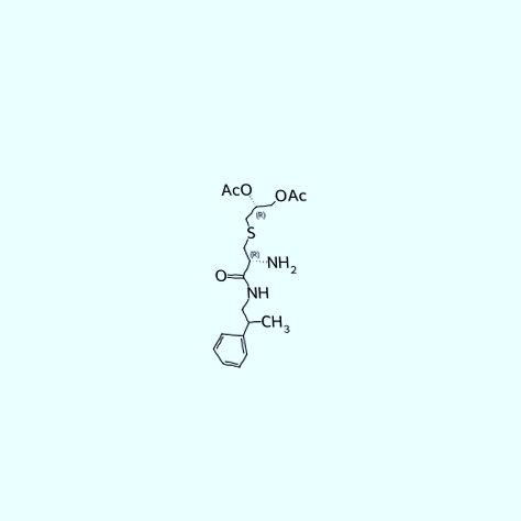 CC(=O)OC[C@H](CSC[C@H](N)C(=O)NCC(C)c1ccccc1)OC(C)=O